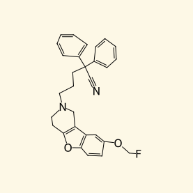 N#CC(CCCN1CCc2oc3ccc(OCF)cc3c2C1)(c1ccccc1)c1ccccc1